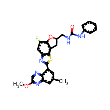 COc1cnc2c(-c3nc4cc(F)c5c(c4s3)CC(CNC(=O)Nc3ccccc3)O5)cc(C)cc2n1